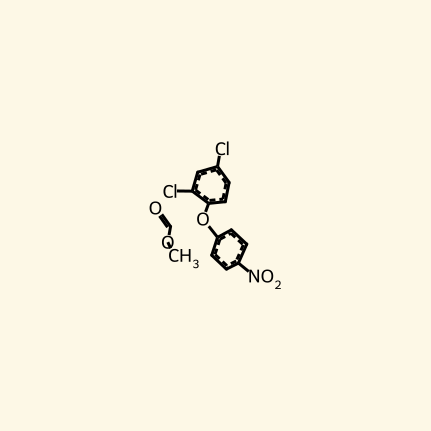 COC=O.O=[N+]([O-])c1ccc(Oc2ccc(Cl)cc2Cl)cc1